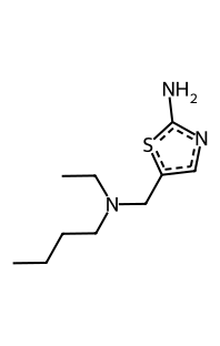 CCCCN(CC)Cc1cnc(N)s1